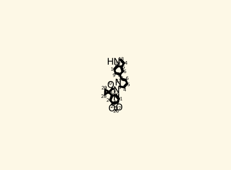 O=C(Nc1cccc(-c2ccc3[nH]ccc3c2)n1)C1(c2ccc3c(c2)OCO3)CC1